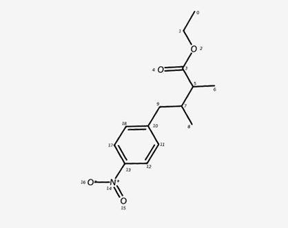 CCOC(=O)C(C)C(C)Cc1ccc([N+](=O)[O-])cc1